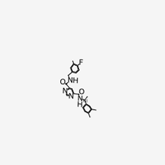 Cc1ccc([C@H](C)NC(=O)c2cc(C(=O)NCc3ccc(F)c(C)c3)ncn2)cc1C